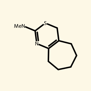 CNC1=NC2=C(CCCCC2)CS1